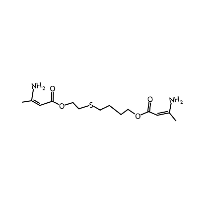 C/C(N)=C/C(=O)OCCCCSCCOC(=O)/C=C(/C)N